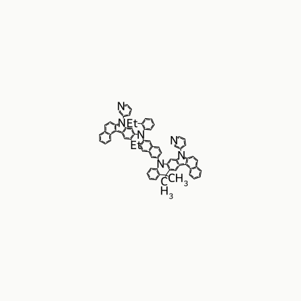 CCc1ccccc1N(c1ccc2cc(N3c4ccccc4C(C)(C)c4cc5c6c7ccccc7ccc6n(-c6cccnc6)c5cc43)ccc2c1)c1cc2c(cc1CC)c1c3ccccc3ccc1n2-c1cccnc1